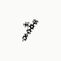 CN1CCC2(CC1)CN(c1ncc(-c3ccc(-c4nnn(C)n4)cc3OC(=O)C(F)(F)F)nn1)C2